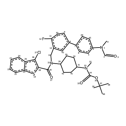 CN(C=O)c1ccc(-c2ccc(F)c(CN(C(=O)c3sc4ccccc4c3Cl)C3CCC(N(C)C(=O)OC(C)(C)C)CC3)c2)cc1